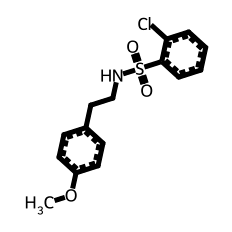 COc1ccc(CCNS(=O)(=O)c2ccccc2Cl)cc1